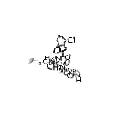 CC1(C)[C@@H]2[C@@H](C(=O)N[C@H](C#N)C[C@@H]3CCNC3=O)N(C(=O)c3cc4c(Cl)cccc4o3)C[C@@H]21